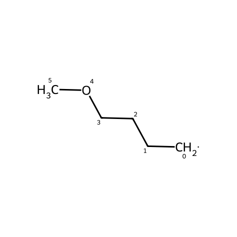 [CH2]CCCOC